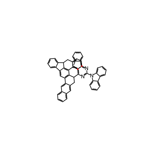 c1ccc2c(c1)CC1c3ccccc3-c3cc4c(c-2c31)C(c1nc(-n2c3ccccc3c3ccccc32)nc2c1sc1ccccc12)Cc1cc2ccccc2cc1-4